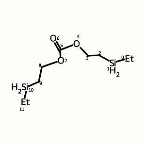 CC[SiH2]CCOC(=O)OCC[SiH2]CC